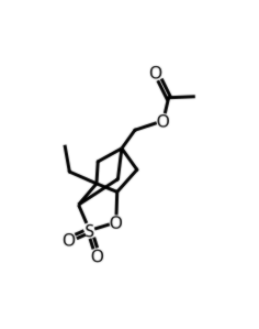 CCC12CC3(COC(C)=O)CC1OS(=O)(=O)C2C3